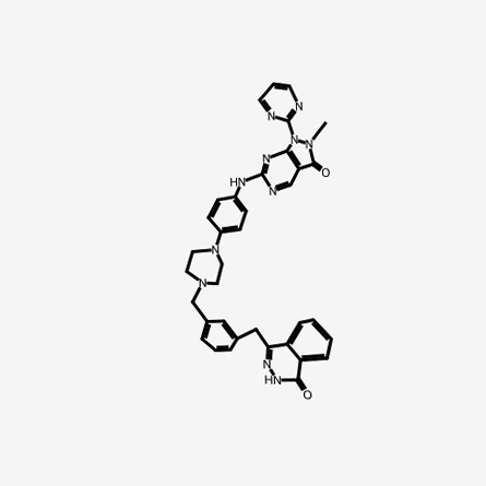 Cn1c(=O)c2cnc(Nc3ccc(N4CCN(Cc5cccc(Cc6n[nH]c(=O)c7ccccc67)c5)CC4)cc3)nc2n1-c1ncccn1